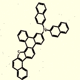 c1ccc2cc(N(c3ccc4ccccc4c3)c3ccc4c(c3)c3ccccc3c3c4ccc4c3sc3ccc5ccccc5c34)ccc2c1